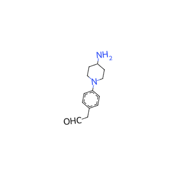 NC1CCN(c2ccc(CC=O)cc2)CC1